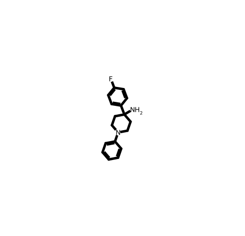 NC1(c2ccc(F)cc2)CCN(c2ccccc2)CC1